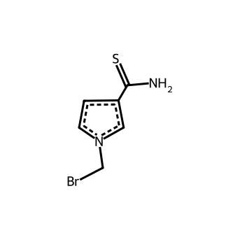 NC(=S)c1ccn(CBr)c1